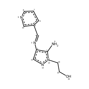 Nc1c(/N=C/c2cccnc2)cnn1CCO